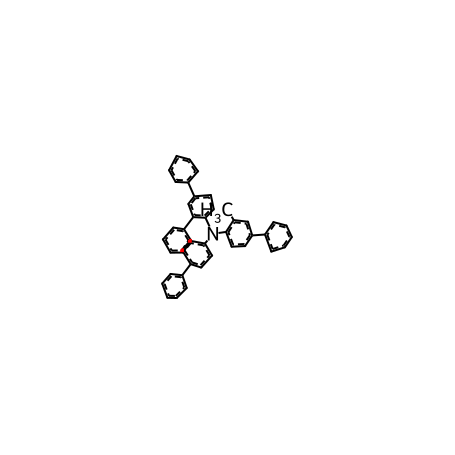 Cc1cc(-c2ccccc2)ccc1N(c1ccc(-c2ccccc2)cc1)c1ccc(-c2ccccc2)cc1-c1ccccc1